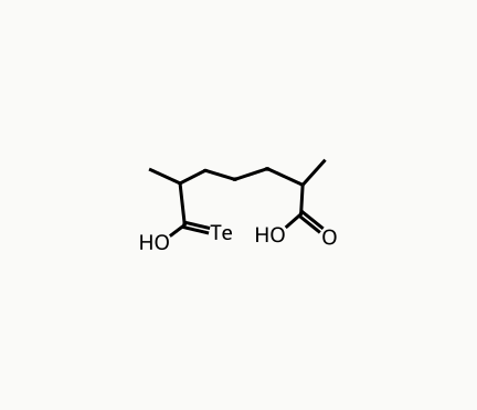 CC(CCCC(C)C(O)=[Te])C(=O)O